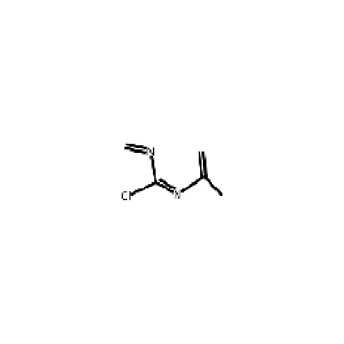 C=N/C(Cl)=N\C(=C)C